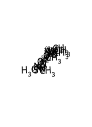 CSc1ncc2c(n1)N(C)CCN(c1ccc(OC(C)(COC(=O)NC(C)(C)C)c3ccccc3)cc1)C2=O